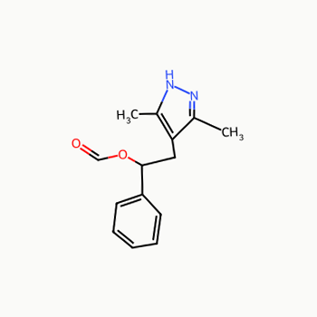 Cc1n[nH]c(C)c1CC(OC=O)c1ccccc1